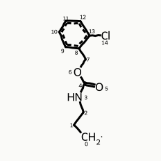 [CH2]CCNC(=O)OCc1ccccc1Cl